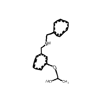 CC(O)Oc1cccc(CNCc2ccccc2)c1